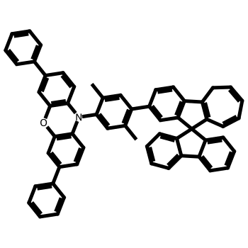 Cc1cc(N2c3ccc(-c4ccccc4)cc3Oc3cc(-c4ccccc4)ccc32)c(C)cc1-c1ccc2c(c1)C1(C3=C2CC=CC=C3)c2ccccc2-c2ccccc21